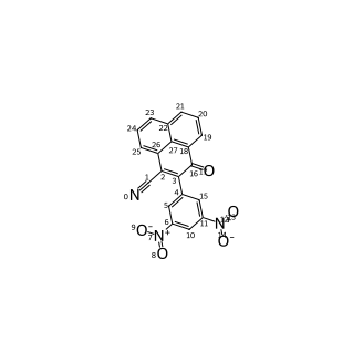 N#CC1=C(c2cc([N+](=O)[O-])cc([N+](=O)[O-])c2)C(=O)c2cccc3cccc1c23